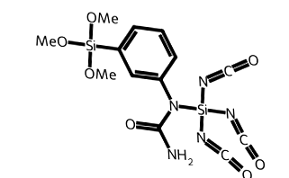 CO[Si](OC)(OC)c1cccc(N(C(N)=O)[Si](N=C=O)(N=C=O)N=C=O)c1